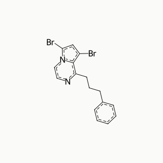 Brc1cc(Br)n2ccnc(CCCc3ccccc3)c12